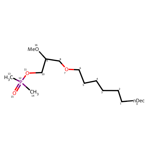 CCCCCCCCCCCCCCCCOCC(COP(C)(C)=O)OC